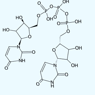 O=c1ccn([C@@H]2O[C@H](COP(=O)(O)OP(=O)(O)OP(=O)(O)OC[C@H]3O[C@@H](n4ccc(=O)[nH]c4=O)C(O)[C@H]3O)C(O)C2O)c(=O)[nH]1